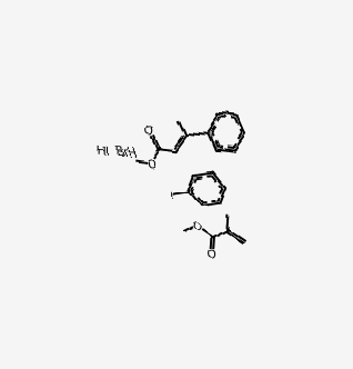 Br.C=C(C)C(=O)OC.COC(=O)C=C(C)c1ccccc1.I.Ic1ccccc1